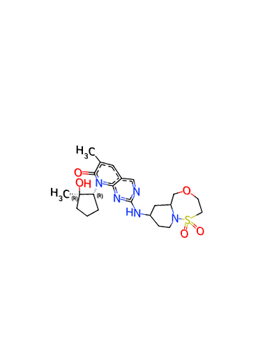 Cc1cc2cnc(NC3CCN4C(COCCS4(=O)=O)C3)nc2n([C@@H]2CCC[C@@]2(C)O)c1=O